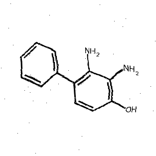 Nc1c(O)ccc(-c2ccccc2)c1N